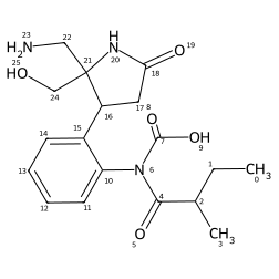 CCC(C)C(=O)N(C(=O)O)c1ccccc1C1CC(=O)NC1(CN)CO